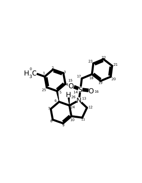 Cc1cccc([C@@H]2CCC=C3CCN(S(=O)(=O)Cc4ccccc4)[C@H]32)c1